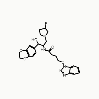 O=C(CCCOn1nnc2ccccc21)NC(CN1CCC(F)C1)C(O)c1ccc2c(c1)OCCO2